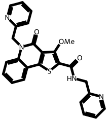 COc1c(C(=O)NCc2ccccn2)sc2c1c(=O)n(Cc1ccccn1)c1ccccc21